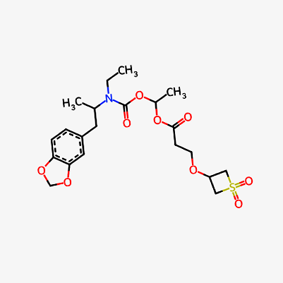 CCN(C(=O)OC(C)OC(=O)CCOC1CS(=O)(=O)C1)C(C)Cc1ccc2c(c1)OCO2